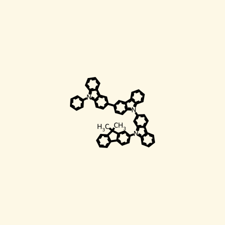 CC1(C)c2ccccc2-c2ccc(-n3c4ccccc4c4ccc(-n5c6ccccc6c6cc(-c7ccc8c(c7)c7ccccc7n8-c7ccccc7)ccc65)cc43)cc21